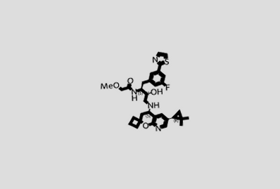 COCC(=O)N[C@@H](Cc1cc(F)cc(-c2nccs2)c1)[C@H](O)CN[C@H]1CC2(CCC2)Oc2ncc([C@@H]3CC3(C)C)cc21